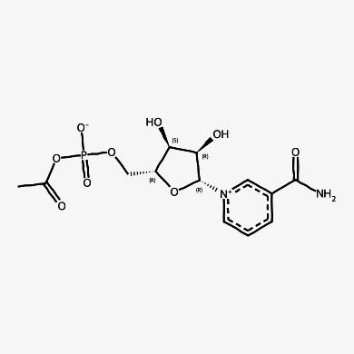 CC(=O)OP(=O)([O-])OC[C@H]1O[C@@H]([n+]2cccc(C(N)=O)c2)[C@H](O)[C@@H]1O